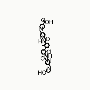 Cc1c(NC(=O)c2ccc(CN3CCC(C(=O)O)CC3)cn2)cccc1-c1cccc(NC(=O)c2ccc(CN3CCC(O)C3)cn2)c1Cl